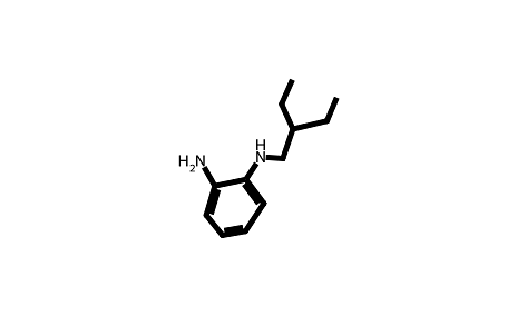 CCC(CC)CNc1ccccc1N